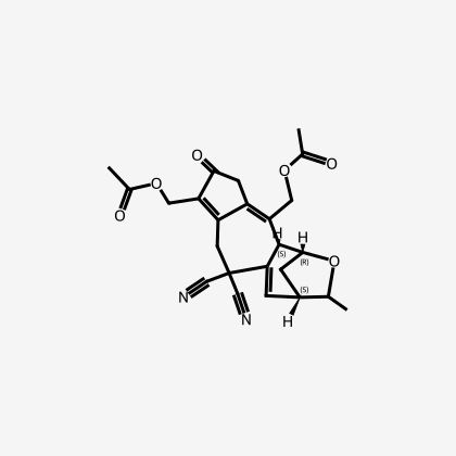 CC(=O)OCC1=C2CC(C#N)(C#N)C3=C[C@@H]4C[C@@H](OC4C)[C@@H]3C(COC(C)=O)=C2CC1=O